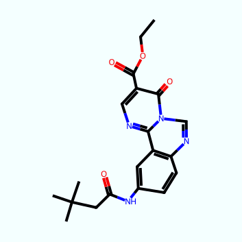 CCOC(=O)c1cnc2c3cc(NC(=O)CC(C)(C)C)ccc3ncn2c1=O